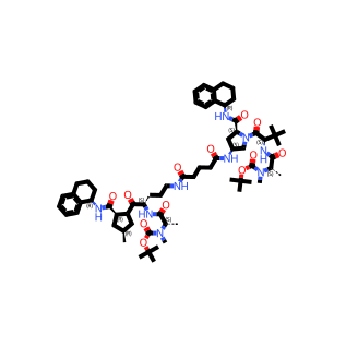 C[C@@H]1CC(C(=O)[C@H](CCCNC(=O)CCCC(=O)N[C@H]2C[C@@H](C(=O)N[C@@H]3CCCc4ccccc43)N(C(=O)[C@@H](NC(=O)[C@H](C)N(C)C(=O)OC(C)(C)C)C(C)(C)C)C2)NC(=O)[C@H](C)N(C)C(=O)OC(C)(C)C)[C@H](C(=O)N[C@@H]2CCCc3ccccc32)C1